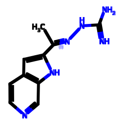 C/C(=N\NC(=N)N)c1cc2ccncc2[nH]1